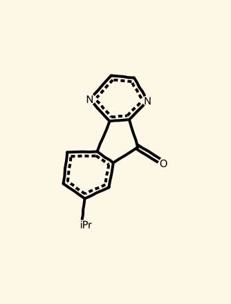 CC(C)c1ccc2c(c1)C(=O)c1nccnc1-2